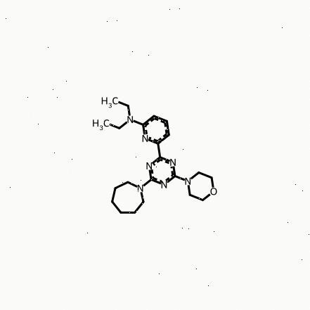 CCN(CC)c1cccc(-c2nc(N3CCCCCC3)nc(N3CCOCC3)n2)n1